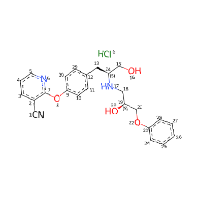 Cl.N#Cc1cccnc1Oc1ccc(C[C@@H](CO)NC[C@H](O)COc2ccccc2)cc1